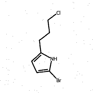 ClCCCc1ccc(Br)[nH]1